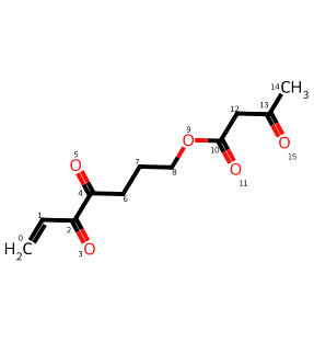 C=CC(=O)C(=O)CCCOC(=O)CC(C)=O